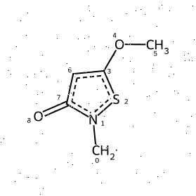 [CH2]n1sc(OC)cc1=O